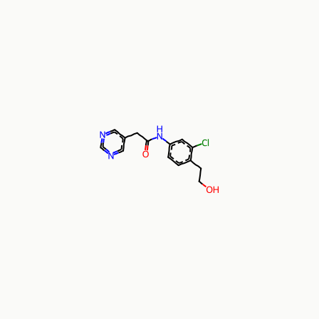 O=C(Cc1cncnc1)Nc1ccc(CCO)c(Cl)c1